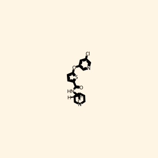 O=C(N[C@H]1CN2CCC1CC2)c1ccc(Oc2cncc(Cl)c2)s1